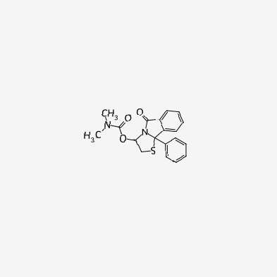 CN(C)C(=O)OC1CSC2(c3ccccc3)c3ccccc3C(=O)N12